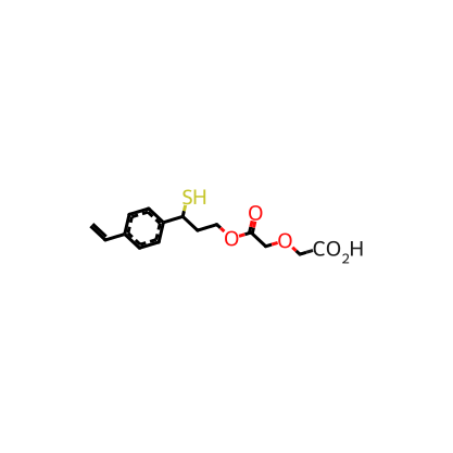 C=Cc1ccc(C(S)CCOC(=O)COCC(=O)O)cc1